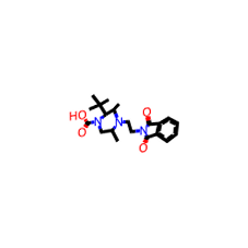 CC1CN(C(=O)O)C(C(C)(C)C)C(C)N1CCN1C(=O)c2ccccc2C1=O